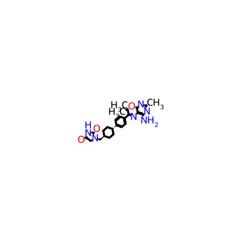 Cc1nc(N)c2c(n1)OC(C)(C)C(c1ccc([C@H]3CC[C@H](CN4CC(=O)NC4=O)CC3)cc1)=N2